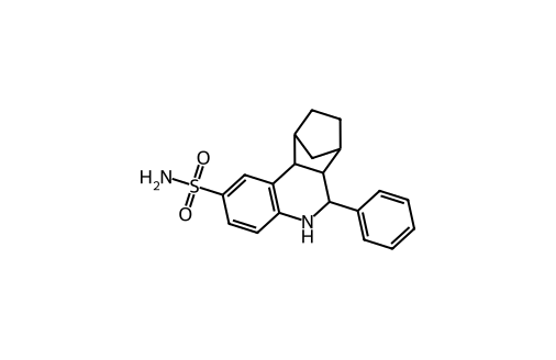 NS(=O)(=O)c1ccc2c(c1)C1C3CCC(C3)C1C(c1ccccc1)N2